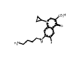 NCCCCNc1cc2c(cc1F)c(=O)c(C(=O)O)cn2C1CC1